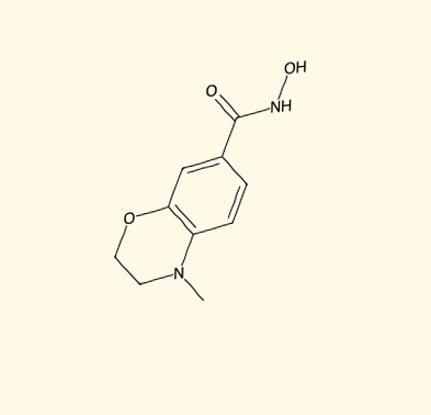 CN1CCOc2cc(C(=O)NO)ccc21